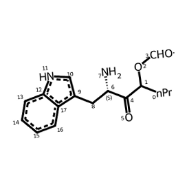 CCCC(O[C]=O)C(=O)[C@@H](N)Cc1c[nH]c2ccccc12